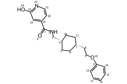 O=C(NC[C@H]1CC[C@@H](CCOc2ccccc2)CC1)c1ccnc(O)c1